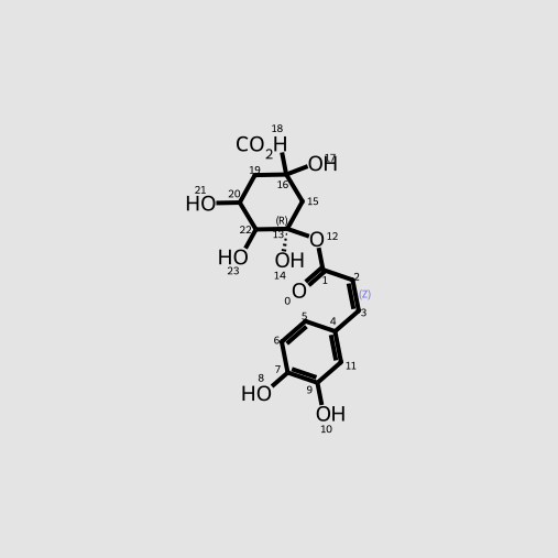 O=C(/C=C\c1ccc(O)c(O)c1)O[C@]1(O)CC(O)(C(=O)O)CC(O)C1O